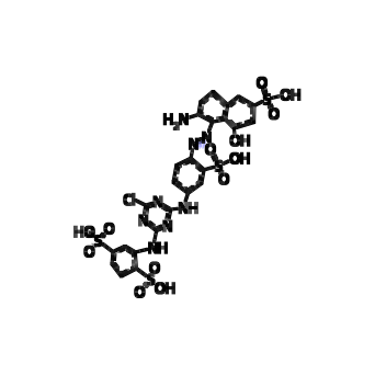 Nc1ccc2cc(S(=O)(=O)O)cc(O)c2c1/N=N/c1ccc(Nc2nc(Cl)nc(Nc3cc(S(=O)(=O)O)ccc3S(=O)(=O)O)n2)cc1S(=O)(=O)O